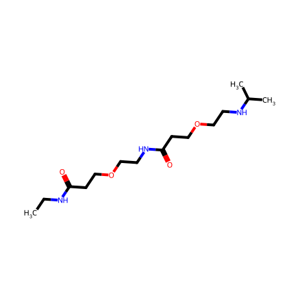 CCNC(=O)CCOCCNC(=O)CCOCCNC(C)C